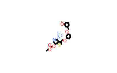 CCOC(=O)Oc1cnc(N)c2c(COc3cccc(OCc4cccc(OC)c4)c3)csc12